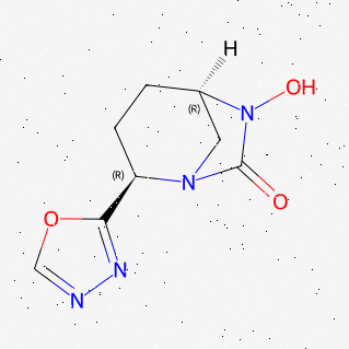 O=C1N(O)[C@@H]2CC[C@H](c3nnco3)N1C2